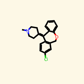 CN1CCC(=C2c3ccc(Cl)cc3COc3ccccc32)CC1